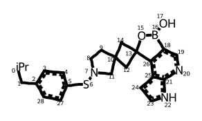 CC(C)Cc1ccc(SN2CCC3(C2)CC2(C3)OB(O)c3cnc4[nH]ccc4c32)cc1